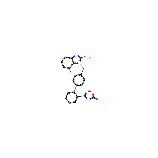 CCOc1nc2cccc(C(=O)[O-])c2n1Cc1ccc(-c2ccccc2-c2noc(=O)[nH]2)cc1.[K+]